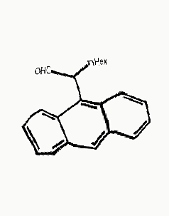 CCCCCCC(C=O)c1c2ccccc2cc2ccccc12